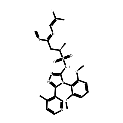 C=N/C(C[C@@H](C)S(=O)(=O)Nc1nnc(-c2cnccc2C)n1-c1c(OC)cccc1OC)=N\C=C(/C)F